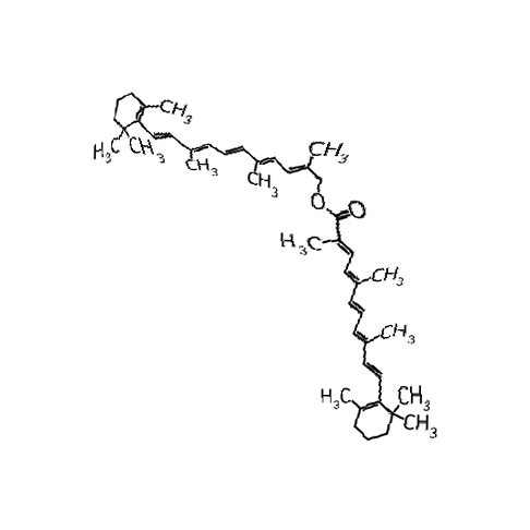 CC1=C(/C=C/C(C)=C/C=C/C(C)=C/C=C(\C)COC(=O)/C(C)=C/C=C(C)/C=C/C=C(C)/C=C/C2=C(C)CCCC2(C)C)C(C)(C)CCC1